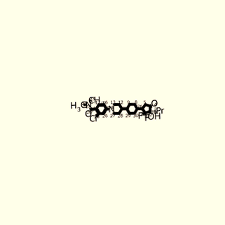 CC(C)[C@@]1(O)C(=O)CC(C2CCC(C3CCN(c4ccc(C(=O)N(C)C)c(Cl)c4)CC3)CC2)C1(F)F